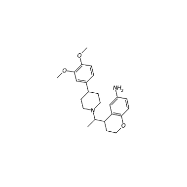 COc1ccc(C2CCN(C(C)C3CCOc4ccc(N)cc43)CC2)cc1OC